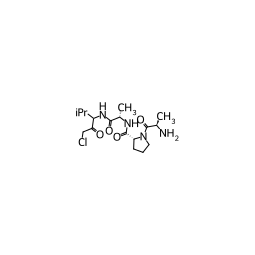 CC(C)C(NC(=O)[C@H](C)NC(=O)[C@H]1CCCN1C(=O)[C@@H](C)N)C(=O)CCl